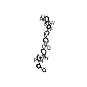 O=C1CCC(Nc2ccc(C3CCN(C4CCN(C(=O)O[C@H]5CC[C@H](Nc6ncc(F)c(-c7cccc(N8CCCCC8)c7)n6)CC5)CC4)CC3)c(F)c2)C(=O)N1